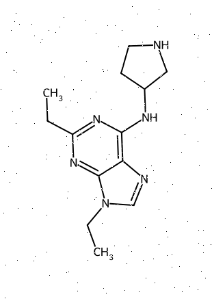 CCc1nc(NC2CCNC2)c2ncn(CC)c2n1